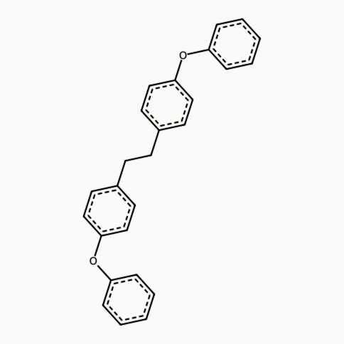 c1ccc(Oc2ccc(CCc3ccc(Oc4ccccc4)cc3)cc2)cc1